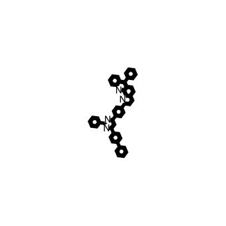 c1ccc(-c2ccc(-c3cc(-c4ccc(-c5ccc6ccc7c(-c8ccccc8)c8ccccc8nc7c6n5)cc4)nc(-c4ccccc4)n3)cc2)cc1